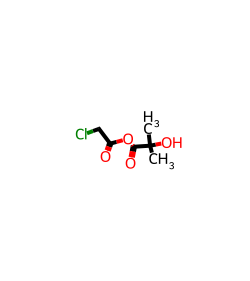 CC(C)(O)C(=O)OC(=O)CCl